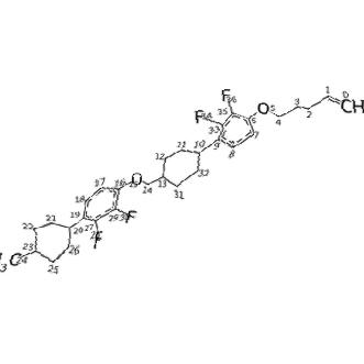 C=CCCCOc1ccc(C2CCC(COc3ccc(C4CCC(C)CC4)c(F)c3F)CC2)c(F)c1F